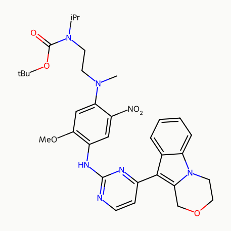 COc1cc(N(C)CCN(C(=O)OC(C)(C)C)C(C)C)c([N+](=O)[O-])cc1Nc1nccc(-c2c3n(c4ccccc24)CCOC3)n1